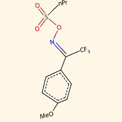 CCCS(=O)(=O)ON=C(c1ccc(OC)cc1)C(F)(F)F